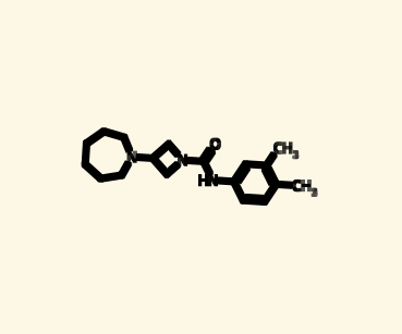 Cc1ccc(NC(=O)N2CC(N3CCCCCC3)C2)cc1C